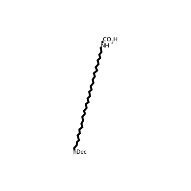 CCCCCCCCCCCCCCCCCCCCCCCCCCCCCCCCCCCCCCCCCCCNCC(=O)O